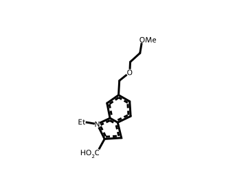 CCn1c(C(=O)O)cc2ccc(COCCOC)cc21